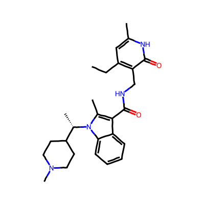 CCc1cc(C)[nH]c(=O)c1CNC(=O)c1c(C)n([C@@H](C)C2CCN(C)CC2)c2ccccc12